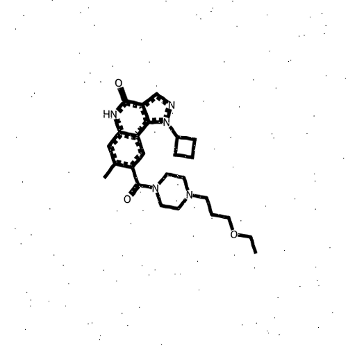 CCOCCCN1CCN(C(=O)c2cc3c(cc2C)[nH]c(=O)c2cnn(C4CCC4)c23)CC1